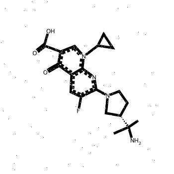 CC(C)(N)[C@H]1CCN(c2nc3c(cc2F)c(=O)c(C(=O)O)cn3C2CC2)C1